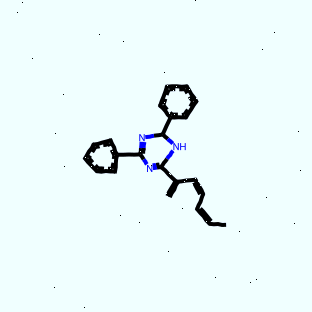 C=C(/C=C\C=C/C)C1=NC(c2ccccc2)=NC(c2ccccc2)N1